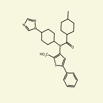 CC1CCC(C(=O)N(c2cc(-c3ccccc3)sc2C(=O)O)C2CCC(n3cncn3)CC2)CC1